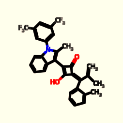 C=C(C)/C(=C1\C(=O)C(c2c(C)n(-c3cc(C(F)(F)F)cc(C(F)(F)F)c3)c3ccccc23)=C1O)c1ccccc1C